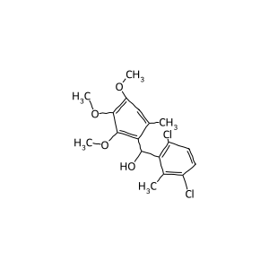 COc1cc(C)c(C(O)c2c(Cl)ccc(Cl)c2C)c(OC)c1OC